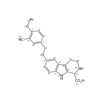 CC(C)Oc1ccc(COc2ccc3[nH]c4c(c3c2)CCNC4C(=O)O)cc1C#N